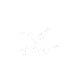 CCNC(=O)CN([C@H]1CCN(Cc2cccc(C=NN)c2)C1=O)S(=O)(=O)c1ccc2ccc(OC)cc2c1.O=C(O)C(F)(F)F